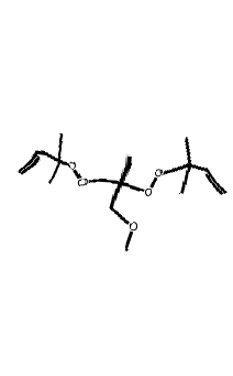 C=CC(C)(C)OOC(C)(COC)OOC(C)(C)C=C